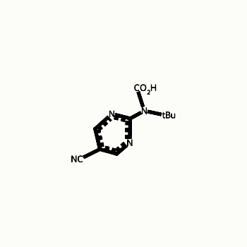 CC(C)(C)N(C(=O)O)c1ncc(C#N)cn1